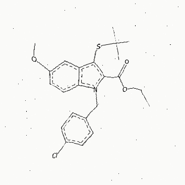 CCOC(=O)c1c(SC(C)(C)C)c2cc(OC)ccc2n1Cc1ccc(Cl)cc1